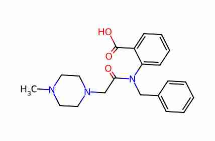 CN1CCN(CC(=O)N(Cc2ccccc2)c2ccccc2C(=O)O)CC1